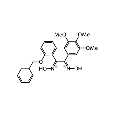 COc1cc(C(=N\O)/C(=N/O)c2ccccc2OCc2ccccc2)cc(OC)c1OC